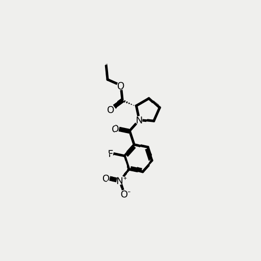 CCOC(=O)[C@@H]1CCCN1C(=O)c1cccc([N+](=O)[O-])c1F